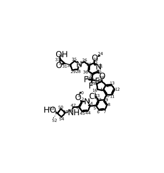 COc1nc(-c2cccc(-c3cccc4c3CC[C@@H]4Oc3nc(OC)c(CN4CC[C@@H](C5OC5O)C4)cc3C(F)(F)F)c2Cl)ccc1CN[C@H]1C[C@](C)(O)C1